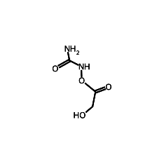 NC(=O)NOC(=O)CO